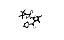 Cc1sc(NC(=O)C2C(C)(C)C2(C)C)c(C(=O)N2CCCC2)c1C